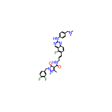 Cc1c(C(=O)NCC=Cc2ccc3nc(Nc4ccc(CN(C)C)cc4)ncc3c2F)c(=O)n(Cc2ccc(F)c(F)c2)n1C